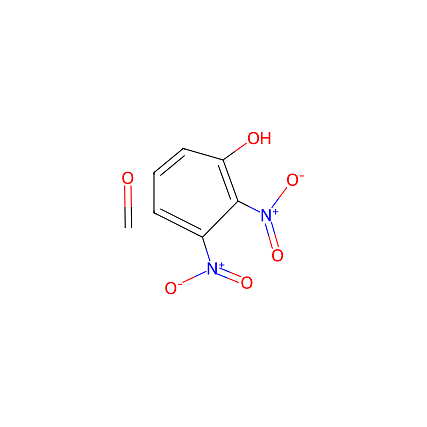 C=O.O=[N+]([O-])c1cccc(O)c1[N+](=O)[O-]